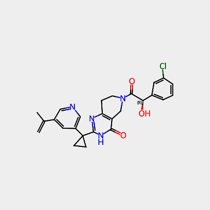 C=C(C)c1cncc(C2(c3nc4c(c(=O)[nH]3)CN(C(=O)[C@H](O)c3cccc(Cl)c3)CC4)CC2)c1